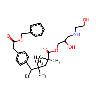 CCC(c1ccc(CC(=O)OCc2ccccc2)cc1)C(C)(C)CC(C)(C)C(=O)OCC(O)CNCCO